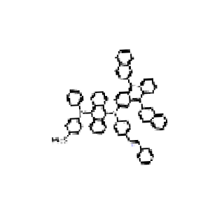 CSc1ccc(N(c2ccccc2)c2c3ccccc3c(N(c3ccc(/C=C/c4ccccc4)cc3)c3ccc4c(-c5ccc6ccccc6c5)c5ccccc5c(-c5ccc6ccccc6c5)c4c3)c3ccccc23)cc1